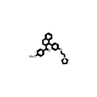 COc1ccc(C(=O)C2=C(c3ccc(OCCN4CCCC4)cc3)c3ccccc3CC2)cc1